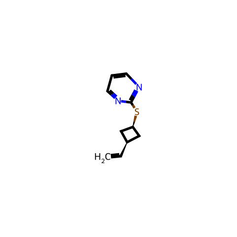 C=C[C@H]1C[C@@H](Sc2ncccn2)C1